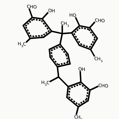 Cc1cc(C=O)c(O)c(C(C)c2ccc(C(C)(c3cc(C)cc(C=O)c3O)c3cc(C)cc(C=O)c3O)cc2)c1